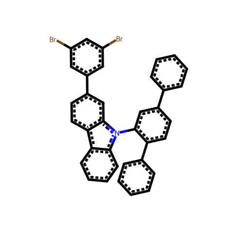 Brc1cc(Br)cc(-c2ccc3c4ccccc4n(-c4cc(-c5ccccc5)ccc4-c4ccccc4)c3c2)c1